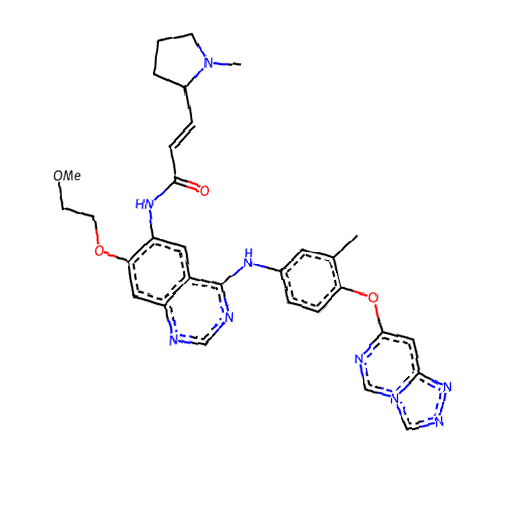 COCCOc1cc2ncnc(Nc3ccc(Oc4cc5nncn5cn4)c(C)c3)c2cc1NC(=O)C=CC1CCCN1C